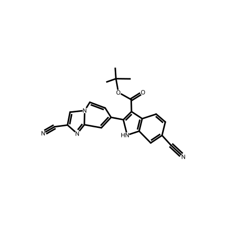 CC(C)(C)OC(=O)c1c(-c2ccn3cc(C#N)nc3c2)[nH]c2cc(C#N)ccc12